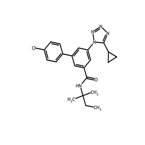 CCC(C)(C)NC(=O)c1cc(-c2ccc(Cl)cc2)cc(-n2nnnc2C2CC2)c1